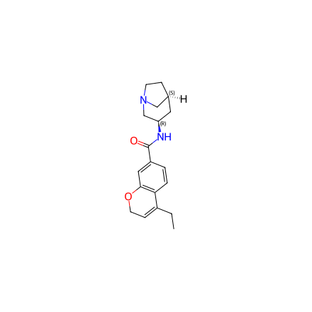 CCC1=CCOc2cc(C(=O)N[C@@H]3C[C@@H]4CCN(C4)C3)ccc21